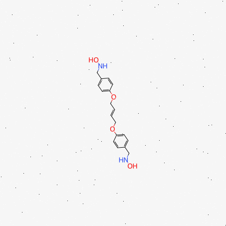 ONCc1ccc(OCC=CCOc2ccc(CNO)cc2)cc1